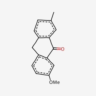 COc1ccc2c(c1)C(=O)c1cc(C)ccc1C2